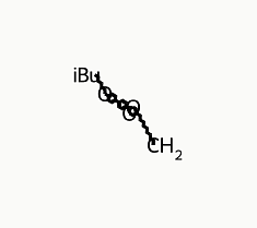 C=CCCCCCCCCC1COC(c2ccc(-c3ccc(OCCCCCC(C)CC)cc3)cc2)OC1